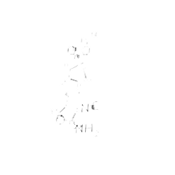 [C-]#[N+]c1c(CCc2ccc(C(=O)OCC)cc2)coc1N